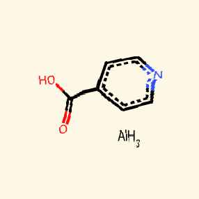 O=C(O)c1ccncc1.[AlH3]